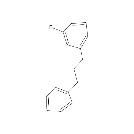 Fc1[c]ccc(CCCc2ccccc2)c1